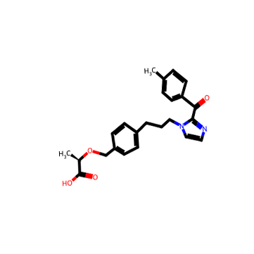 Cc1ccc(C(=O)c2nccn2CCCc2ccc(CO[C@H](C)C(=O)O)cc2)cc1